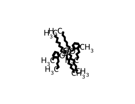 CCCCCCC[CH2][Sn]([CH2]CCCCCCC)([O]c1cccc(C)c1CCCC)[O][Sn]([CH2]CCCCCCC)([CH2]CCCCCCC)[O]c1cccc(C)c1CCCC